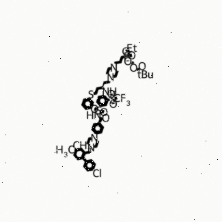 CCOP(=O)(CCCN1CCN(CC[C@H](CCSc2ccccc2)Nc2ccc(S(=O)(=O)NC(=O)c3ccc(N4CCN(CC5=C(c6ccc(Cl)cc6)CCC(C)(C)C5)CC4)cc3)cc2S(=O)(=O)C(F)(F)F)CC1)OCOC(=O)C(C)(C)C